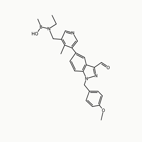 CCN(Cc1cncc(-c2ccc3c(c2)c(C=O)nn3Cc2ccc(OC)cc2)c1C)B(C)O